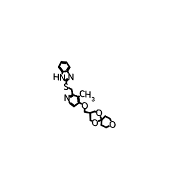 Cc1c(OCC2COC3(CCOCC3)OC2)ccnc1CSc1nc2ccccc2[nH]1